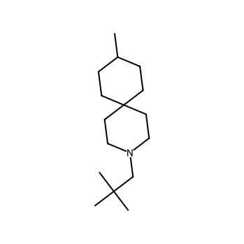 CC1CCC2(CC1)CCN(CC(C)(C)C)CC2